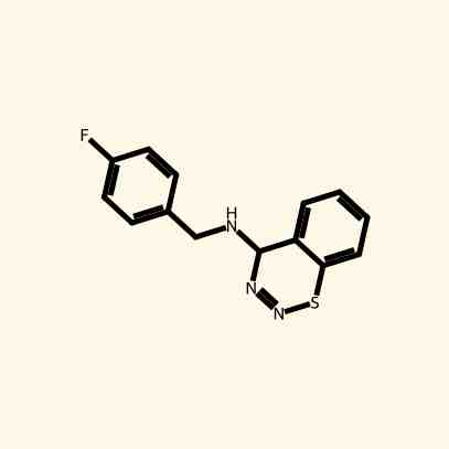 Fc1ccc(CNC2N=NSc3ccccc32)cc1